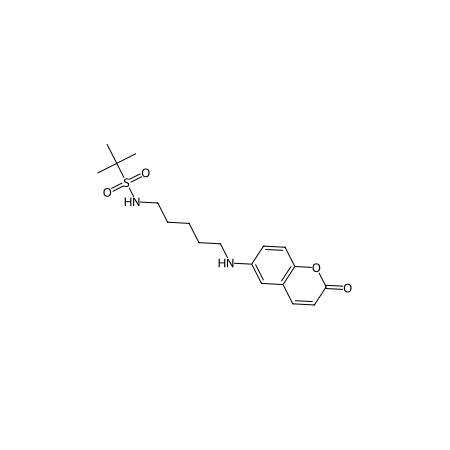 CC(C)(C)S(=O)(=O)NCCCCCNc1ccc2oc(=O)ccc2c1